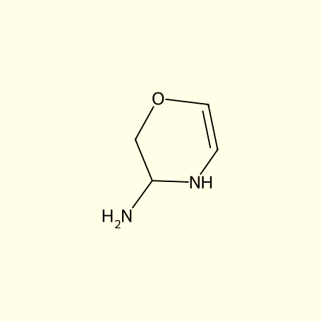 NC1COC=CN1